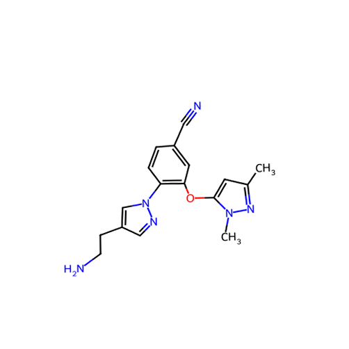 Cc1cc(Oc2cc(C#N)ccc2-n2cc(CCN)cn2)n(C)n1